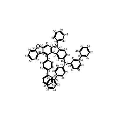 c1ccc(-c2ccc(-c3c4c(cc5c3c3cc(N(c6ccc(-c7ccccc7)cc6)c6cccc(-c7ccccc7)c6)ccc3n5-c3ccccc3)oc3ccccc34)cc2)cc1